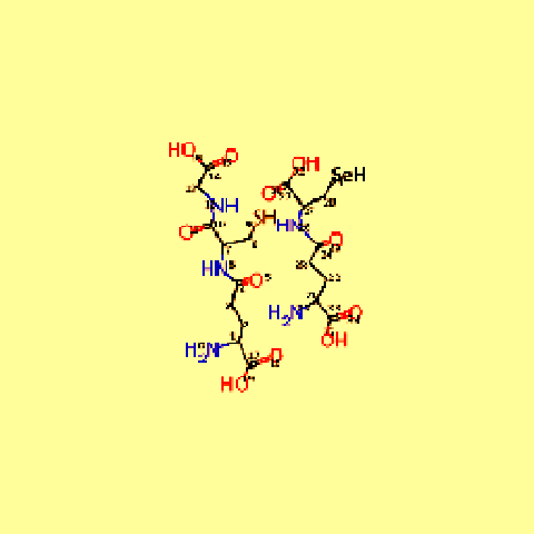 NC(CCC(=O)NC(CS)C(=O)NCC(=O)O)C(=O)O.NC(CCC(=O)NC(C[SeH])C(=O)O)C(=O)O